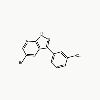 O=[N+]([O-])c1cccc(-c2n[nH]c3ncc(Br)cc23)c1